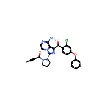 CC#CC(=O)N1CCC[C@H]1c1nc(C(=O)c2ccc(Oc3ccccc3)cc2Cl)c2c(N)nccn12